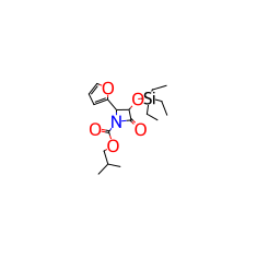 CC[Si](CC)(CC)OC1C(=O)N(C(=O)OCC(C)C)C1c1ccco1